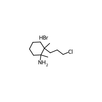 Br.CC1(N)CCCCC1(C)CCCCl